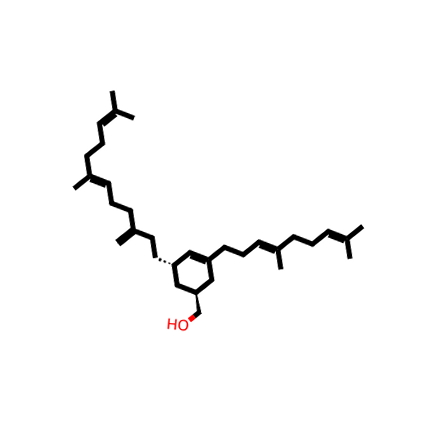 C=C(CC/C=C(\C)CCC=C(C)C)CC[C@@H]1C=C(CC/C=C(\C)CCC=C(C)C)C[C@@H](CO)C1